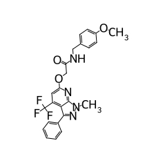 COc1ccc(CNC(=O)COc2cc(C(F)(F)F)c3c(-c4ccccc4)nn(C)c3n2)cc1